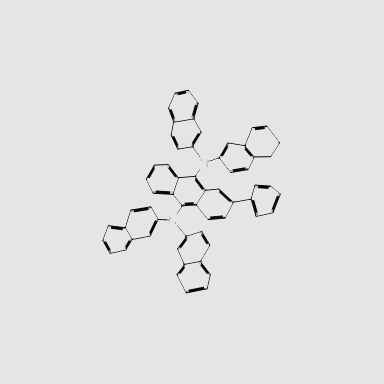 C1=Cc2cc(N(c3ccc4ccccc4c3)c3c4ccccc4c(N(c4ccc5ccccc5c4)c4ccc5ccccc5c4)c4ccc(-c5ccccc5)cc34)ccc2CC1